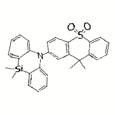 CC1(C)c2ccccc2S(=O)(=O)c2ccc(N3c4ccccc4[Si](C)(C)c4ccccc43)cc21